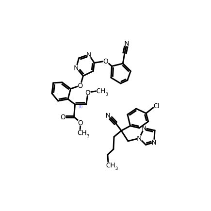 CCCCC(C#N)(Cn1cncn1)c1ccc(Cl)cc1.CO/C=C(/C(=O)OC)c1ccccc1Oc1cc(Oc2ccccc2C#N)ncn1